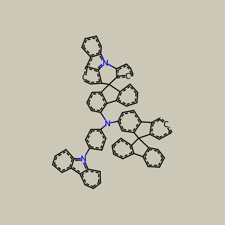 c1ccc2c(c1)-c1ccccc1C21c2ccccc2-c2ccc(N(c3ccc(-n4c5ccccc5c5ccccc54)cc3)c3cccc4c3-c3ccccc3C43c4ccccc4-n4c5ccccc5c5cccc3c54)cc21